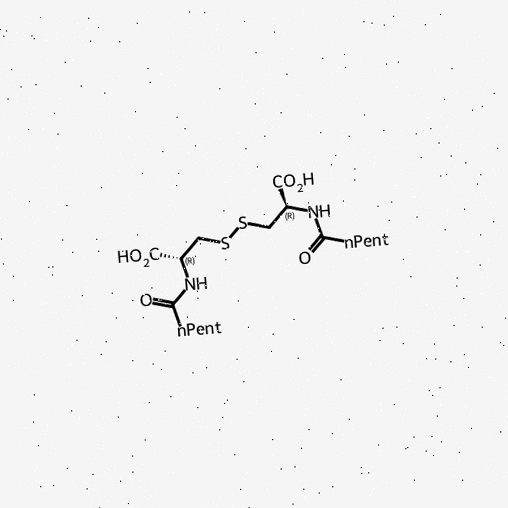 CCCCCC(=O)N[C@@H](CSSC[C@H](NC(=O)CCCCC)C(=O)O)C(=O)O